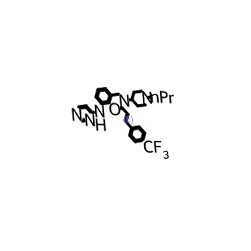 CCCN1CCC(N(Cc2cccc(Nc3ccncn3)c2)C(=O)/C=C/c2ccc(C(F)(F)F)cc2)CC1